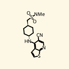 CNS(=O)(=O)C[C@H]1CC[C@H](Nc2c(C#N)cnc3sccc23)CC1